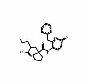 CCCC(CC1(C(=O)Nc2ccc(=O)[nH]c2Cc2ccccc2)CCCC1)C(=O)O